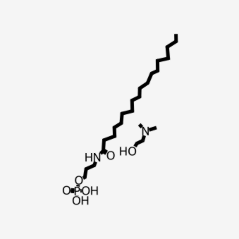 CCCCCCCCCCCCCCCCCC(=O)NCCCOP(=O)(O)O.CN(C)CCO